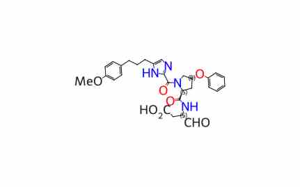 COc1ccc(CCCc2cnc(C(=O)N3C[C@H](Oc4ccccc4)C[C@H]3C(=O)N[C@H](C=O)CC(=O)O)[nH]2)cc1